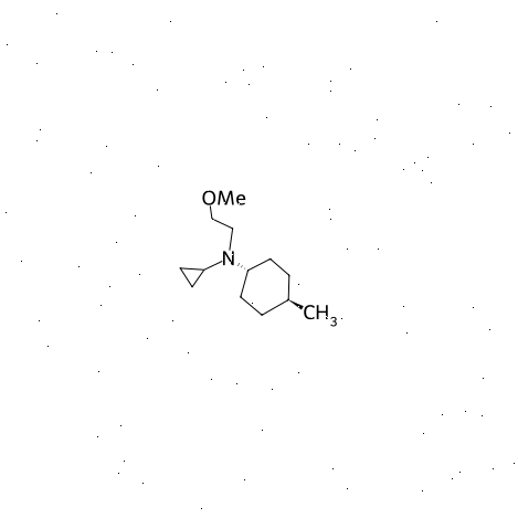 COCCN(C1CC1)[C@H]1CC[C@H](C)CC1